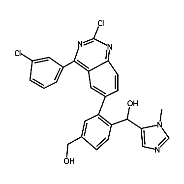 Cn1cncc1C(O)c1ccc(CO)cc1-c1ccc2nc(Cl)nc(-c3cccc(Cl)c3)c2c1